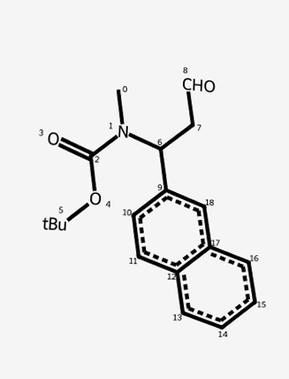 CN(C(=O)OC(C)(C)C)C(CC=O)c1ccc2ccccc2c1